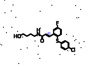 O=C(/C=C/c1cc(F)ccc1Sc1ccc(Cl)cc1)NCCCCO